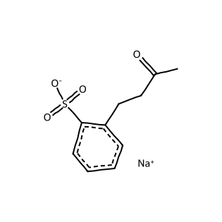 CC(=O)CCc1ccccc1S(=O)(=O)[O-].[Na+]